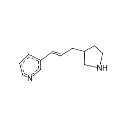 C(=Cc1cccnc1)CC1CCNC1